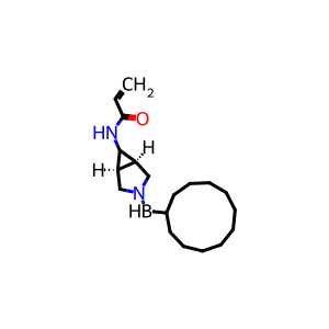 C=CC(=O)NC1[C@H]2CN(BC3CCCCCCCCCC3)C[C@@H]12